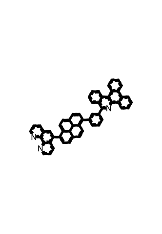 C1=CC2=C(c3cccc(-c4nc5c6ccccc6c6ccccc6c5c5ccccc45)c3)C=CC3=CC=C4C(c5cc6cccnc6c6ncccc56)=CC=C1C4C32